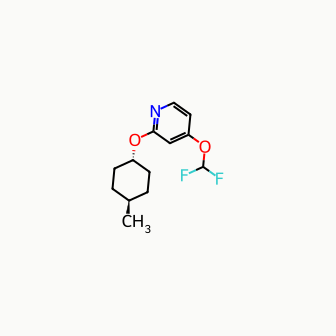 C[C@H]1CC[C@H](Oc2cc(OC(F)F)ccn2)CC1